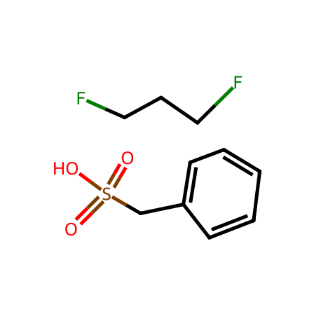 FCCCF.O=S(=O)(O)Cc1ccccc1